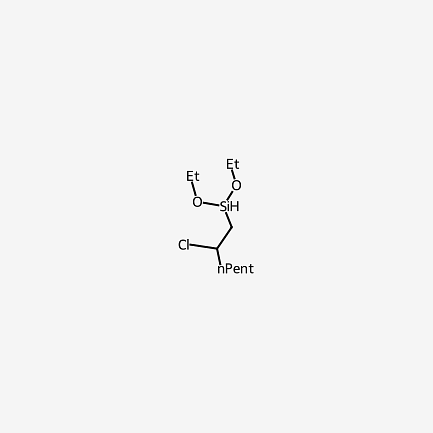 CCCCCC(Cl)C[SiH](OCC)OCC